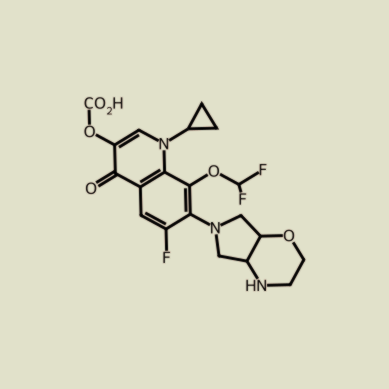 O=C(O)Oc1cn(C2CC2)c2c(OC(F)F)c(N3CC4NCCOC4C3)c(F)cc2c1=O